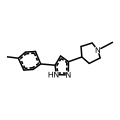 Cc1ccc(-c2cc(C3CCN(C)CC3)n[nH]2)cc1